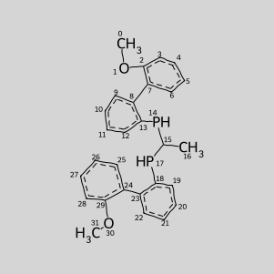 COc1ccccc1-c1ccccc1PC(C)Pc1ccccc1-c1ccccc1OC